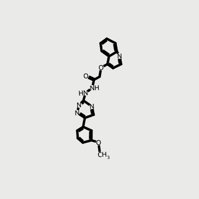 COc1cccc(-c2cnc(NNC(=O)COc3ccnc4ccccc34)nn2)c1